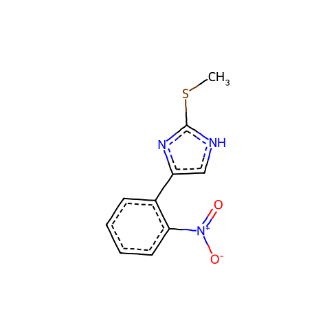 CSc1nc(-c2ccccc2[N+](=O)[O-])c[nH]1